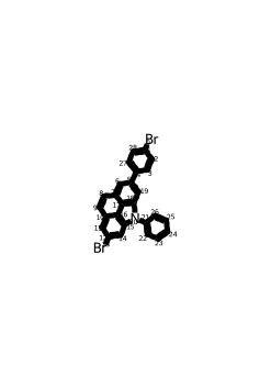 Brc1ccc(-c2cc3ccc4cc(Br)cc5c4c3c(c2)n5-c2ccccc2)cc1